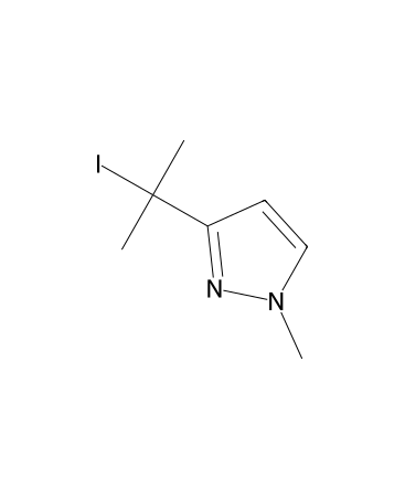 Cn1ccc(C(C)(C)I)n1